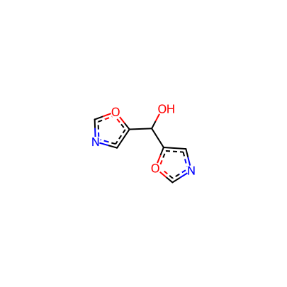 OC(c1cnco1)c1cnco1